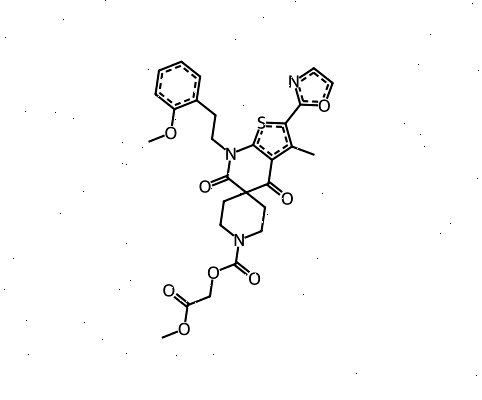 COC(=O)COC(=O)N1CCC2(CC1)C(=O)c1c(sc(-c3ncco3)c1C)N(CCc1ccccc1OC)C2=O